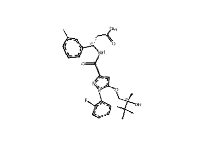 Cc1cccc([C@H](CC(=O)O)NC(=O)c2cc(OC[C@](C)(O)C(C)(C)C)n(-c3ccccc3F)n2)c1